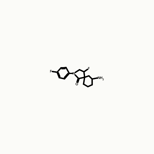 NC1CCCC2(C1)C(=O)N(c1ccc(F)cc1)CC2F